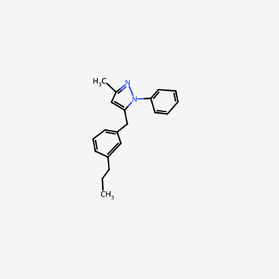 CCCc1cccc(Cc2cc(C)nn2-c2ccccc2)c1